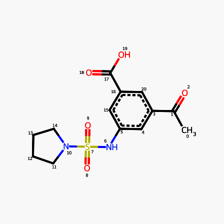 CC(=O)c1cc(NS(=O)(=O)N2CCCC2)cc(C(=O)O)c1